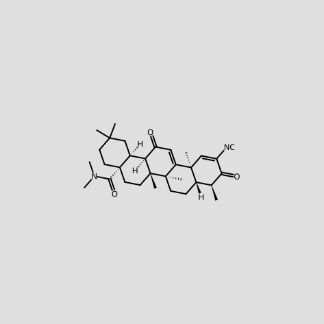 [C-]#[N+]C1=C[C@]2(C)C3=CC(=O)[C@@H]4[C@@H]5CC(C)(C)CC[C@]5(C(=O)N(C)C)CC[C@@]4(C)[C@]3(C)CC[C@H]2[C@H](C)C1=O